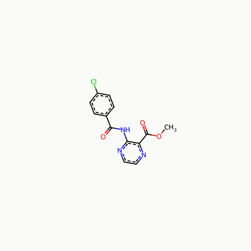 COC(=O)c1nccnc1NC(=O)c1ccc(Cl)cc1